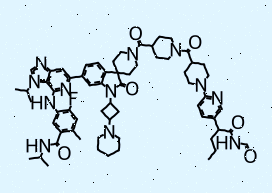 CCCC(C(=O)NC=O)c1ccc(N2CCC(C(=O)N3CCC(C(=O)N4CCC5(CC4)C(=O)N(C4CC(N6CCCCC6)C4)c4cc(-c6cc7ncn(C(C)C)c7c(Nc7cc(C(=O)NC(C)C)c(C)cc7F)n6)ccc45)CC3)CC2)nc1